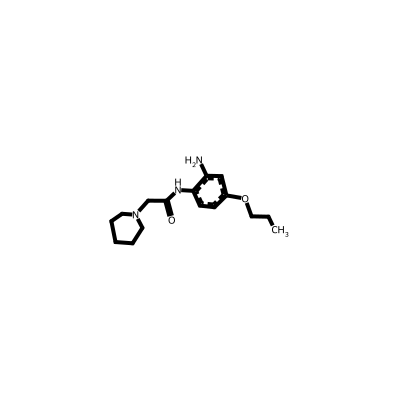 CCCOc1ccc(NC(=O)CN2CCCCC2)c(N)c1